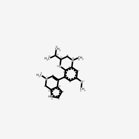 COc1cc(C2=CN(C)Cc3[nH]ccc32)c2c(c1)N(C)CC(C(C)C)O2